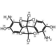 Nc1cc(C(c2ccc(O)c(N)c2)(C(Cl)(Cl)Cl)C(Cl)(Cl)Cl)ccc1O